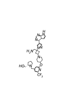 NCC1(n2cc(C3N=CN=C4NC=CC43)cn2)CC(N2CCC(Oc3cc(CN4CCC[C@H]4CO)cc(C(F)(F)F)n3)CC2)C1